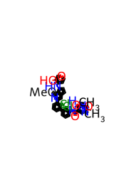 COc1nc(-c2cccc(-c3cccc(NC(=O)c4cn(C)c(=O)n(C)c4=O)c3Cl)c2Cl)cc2c1[C@@H](N[C@@H]1CCOC[C@@H]1O)CC2